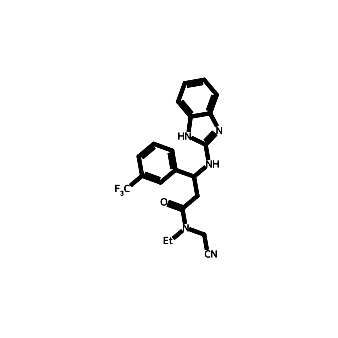 CCN(CC#N)C(=O)CC(Nc1nc2ccccc2[nH]1)c1cccc(C(F)(F)F)c1